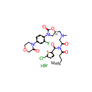 Br.CNCCC(=O)N(C(=O)CN(C)C[C@H]1CN(c2ccc(N3CCOCC3=O)cc2F)C(=O)O1)C(=O)c1ccc(Cl)s1